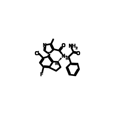 Cc1ncsc1C(=O)N([C@@H]1CCc2c(F)cc(Cl)cc21)[C@H](C(N)=O)c1ccccc1